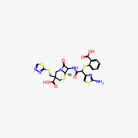 Nc1nc(C(Sc2ccccc2C(=O)O)C(=O)NC2C(=O)N3CC(CSc4nncs4)(C(=O)O)CS[C@H]23)cs1